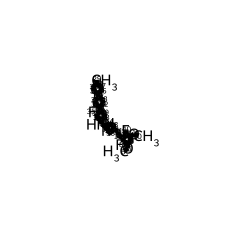 COc1cc(OC)c(F)c(CCc2cnc(Nc3ccc(N4CCC(N5CCN(C)CC5)CC4)c(F)c3)nc2)c1F